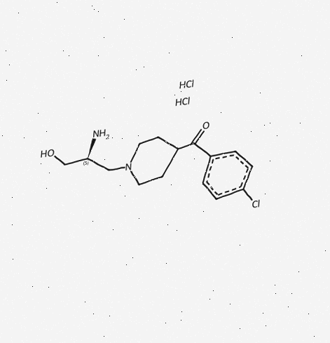 Cl.Cl.N[C@H](CO)CN1CCC(C(=O)c2ccc(Cl)cc2)CC1